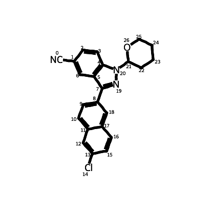 N#Cc1ccc2c(c1)c(-c1ccc3cc(Cl)ccc3c1)nn2C1CCCCO1